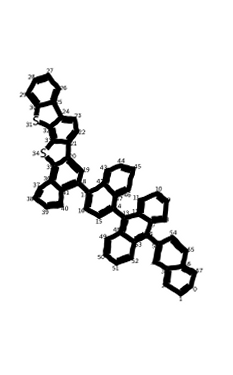 c1ccc2cc(-c3c4ccccc4c(-c4ccc(-c5cc6c7ccc8c9ccccc9sc8c7sc6c6ccccc56)c5ccccc45)c4ccccc34)ccc2c1